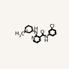 CN1CCC[C@H](Nc2ncccc2C(=O)Nc2cccc(Cl)c2)C1